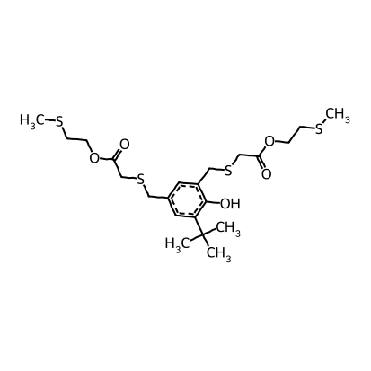 CSCCOC(=O)CSCc1cc(CSCC(=O)OCCSC)c(O)c(C(C)(C)C)c1